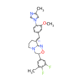 COc1cc(/C=C2\CCCN3CC(c4cc(C)c(F)c(F)c4)ON=C23)ccc1-n1cnc(C)c1